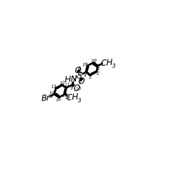 Cc1ccc(S(=O)(=O)NC(=O)c2ccc(Br)cc2C)cc1